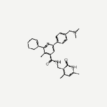 Cc1cc(C)c(CNC(=O)c2cc(-c3ccc(CN(C)C)cc3)nc(C3=CCCCC3)c2C)c(=O)[nH]1